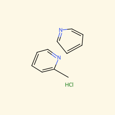 Cc1ccccn1.Cl.c1ccncc1